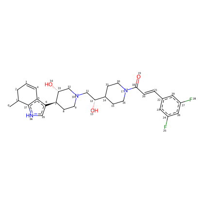 CC1CC=Cc2c([C@@H]3CCN(C[C@@H](O)C4CCN(C(=O)/C=C/c5cc(F)cc(F)c5)CC4)C[C@H]3O)c[nH]c21